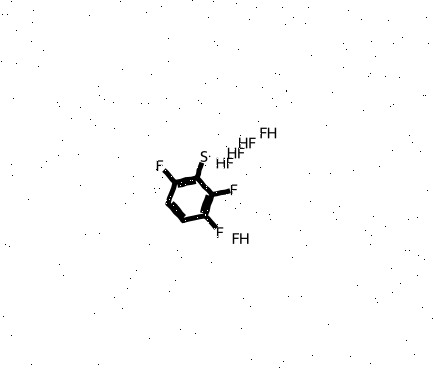 F.F.F.F.F.Fc1ccc(F)c([S])c1F